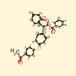 CC(=O)c1ccc(Sc2ccc(-c3c(C(=O)c4ccccc4)oc4ccccc34)cc2)cc1